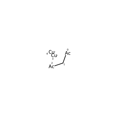 CC(=O)CC(C)=O.[Cu].[Cu]